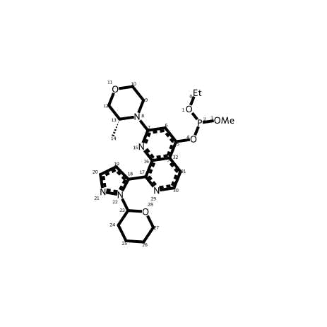 CCOP(OC)Oc1cc(N2CCOC[C@H]2C)nc2c(-c3ccnn3C3CCCCO3)nccc12